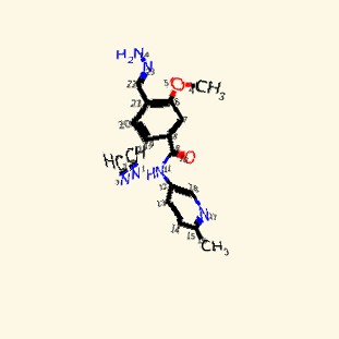 C#N.C#N.COc1cc(C(=O)Nc2ccc(C)nc2)ccc1C=NN